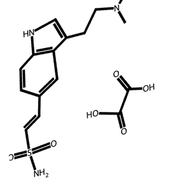 CN(C)CCc1c[nH]c2ccc(/C=C/S(N)(=O)=O)cc12.O=C(O)C(=O)O